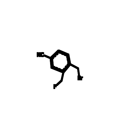 N#Cc1ccc(CBr)c(CF)c1